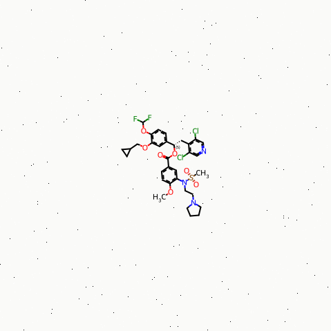 COc1ccc(C(=O)O[C@@H](Cc2c(Cl)cncc2Cl)c2ccc(OC(F)F)c(OCC3CC3)c2)cc1N(CCN1CCCC1)S(C)(=O)=O